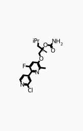 Cc1nc(-c2ccnc(Cl)c2)c(F)cc1OC[C@](C)(CC(C)C)OC(N)=O